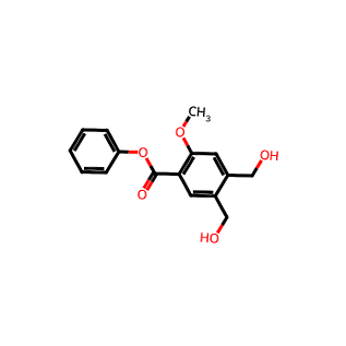 COc1cc(CO)c(CO)cc1C(=O)Oc1ccccc1